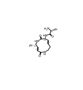 CC(C)[C@H](N)C(=O)N[C@H]1/C=C/CCNC(=O)/C=C/[C@H](C(C)C)NC1=O